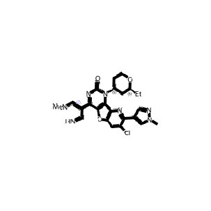 CC[C@H]1C[C@@H](n2c(=O)nc(/C(C=N)=C/NC)c3oc4cc(Cl)c(-c5cnn(C)c5)nc4c32)CCO1